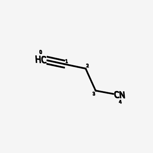 C#CCCC#N